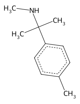 CNC(C)(C)c1ccc(C)cc1